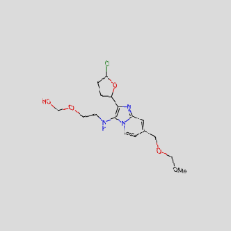 COCOCc1ccn2c(NCCOCO)c(C3CCC(Cl)O3)nc2c1